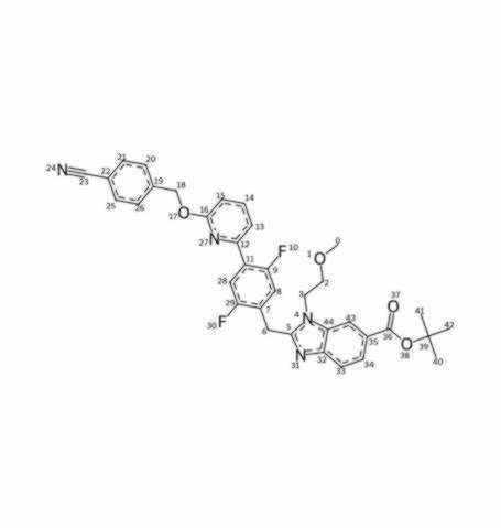 COCCn1c(Cc2cc(F)c(-c3cccc(OCc4ccc(C#N)cc4)n3)cc2F)nc2ccc(C(=O)OC(C)(C)C)cc21